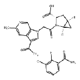 CC(=O)c1cn(CC(=O)N2[C@@H]3C[C@@H]3C[C@H]2C(=O)O)c2cnc(C)cc12.NC(=O)c1cccc(Cl)c1F